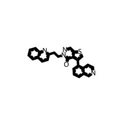 O=c1c2c(-c3cccc4cnccc34)csc2cnn1CCc1ccc2ccccc2n1